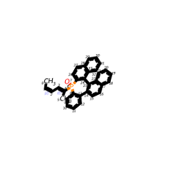 C/C=C\C=C(/C)P1(=O)c2ccccc2-c2ccc3ccccc3c2-c2c1ccc1ccccc21